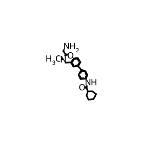 CN(Cc1cccc(-c2ccc(NC(=O)C3CCCCC3)cc2)c1)C(=O)CN